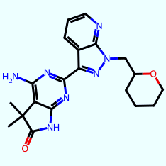 CC1(C)C(=O)Nc2nc(-c3nn(CC4CCCCO4)c4ncccc34)nc(N)c21